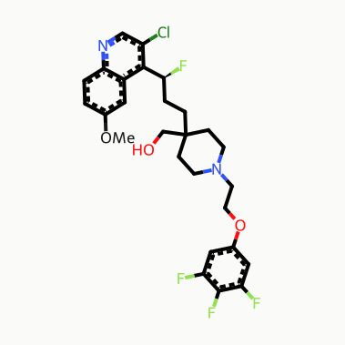 COc1ccc2ncc(Cl)c([C@@H](F)CCC3(CO)CCN(CCOc4cc(F)c(F)c(F)c4)CC3)c2c1